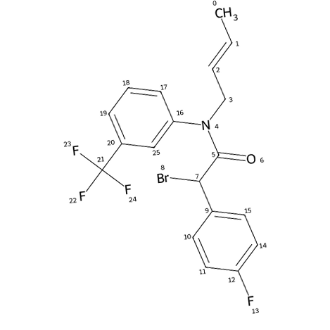 C/C=C/CN(C(=O)C(Br)c1ccc(F)cc1)c1cccc(C(F)(F)F)c1